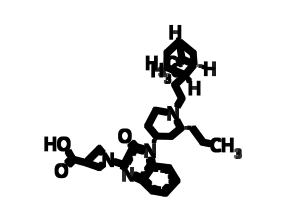 CCC[C@@H]1C[C@H](n2c(=O)c(N3CC(C(=O)O)C3)nc3ccccc32)CCN1CC[C@@H]1CC[C@H]2C[C@@H]1C2(C)C